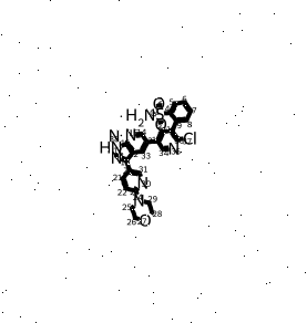 NS(=O)(=O)c1ccccc1-c1cc(-c2cnc3[nH]nc(-c4ccc(N5CCOCC5)nc4)c3c2)cnc1Cl.[N]